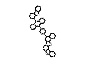 c1ccc2c(c1)oc1c(-c3c4ccccc4c(-c4ccc(-c5cc6c7ccc8sc9ccccc9c8c7oc6c6ccccc56)cc4)c4ccccc34)cccc12